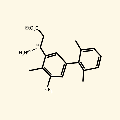 CCOC(=O)C[C@@H](N)c1cc(-c2c(C)cccc2C)cc(C(F)(F)F)c1F